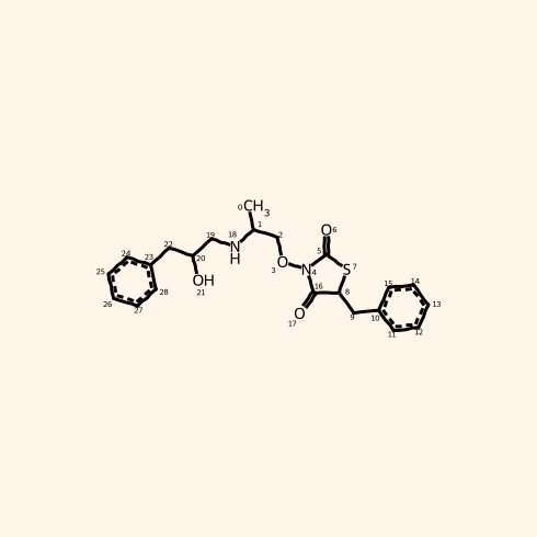 CC(CON1C(=O)SC(Cc2ccccc2)C1=O)NCC(O)Cc1ccccc1